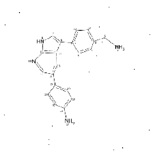 NCc1ccc(-c2c[nH]c3ncc(-c4ccc(N)cc4)cc23)cc1